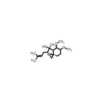 COC1CC[C@]2(CO2)C([C@@](C)(O)[C@H](C)CC=C(C)C)C1OC